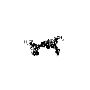 C=C(F)C(=O)N1CCN(c2nc(OCC34CCC(COC)N3C(c3cc(F)c(Cl)c5c(N6CCc7c(nc(OCC89CCCN8C(CF)CC9)nc7N7CCN(C(=O)C(=C)F)[C@@H](CC#N)C7)C6)cccc35)CC4)nc3c2CCN(c2cccc4ccc(F)c(Cl)c24)C3)C[C@@H]1CC#N